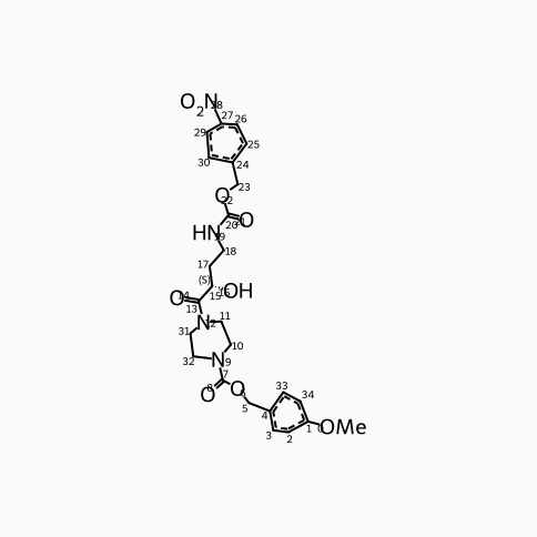 COc1ccc(COC(=O)N2CCN(C(=O)[C@@H](O)CCNC(=O)OCc3ccc([N+](=O)[O-])cc3)CC2)cc1